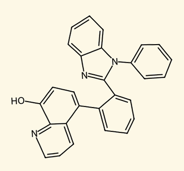 Oc1ccc(-c2ccccc2-c2nc3ccccc3n2-c2ccccc2)c2cccnc12